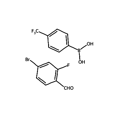 O=Cc1ccc(Br)cc1F.OB(O)c1ccc(C(F)(F)F)cc1